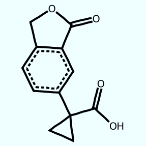 O=C1OCc2ccc(C3(C(=O)O)CC3)cc21